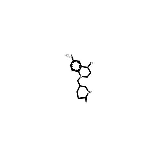 O=C1CCC(CN2CCC(O)c3cc(S(=O)(=O)O)ccc32)CN1